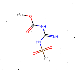 CC(C)(C)OC(=O)NC(=N)NS(=O)(=O)C(F)(F)F